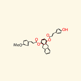 COc1ccc(/C=C/C(=O)Oc2ccc(OC(=O)/C=C/c3ccc(O)cc3)c3c2C2c4ccccc4C3c3ccccc32)cc1